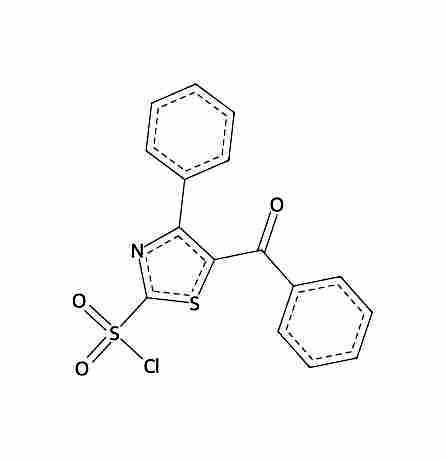 O=C(c1ccccc1)c1sc(S(=O)(=O)Cl)nc1-c1ccccc1